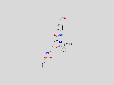 C=CCOC(=O)NCCCC[C@H](NC(=O)C1(C(=O)OCC)CCC1)C(=O)Nc1ccc(CO)cc1